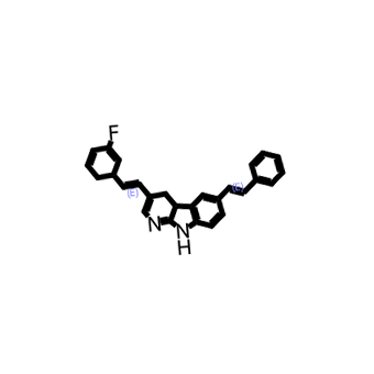 FC1=CC(/C=C/C2=CN=C3Nc4ccc(/C=C/c5ccccc5)cc4C3C2)CC=C1